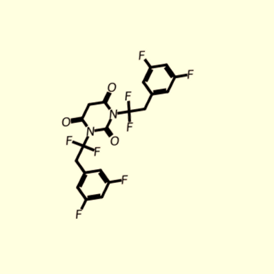 O=C1CC(=O)N(C(F)(F)Cc2cc(F)cc(F)c2)C(=O)N1C(F)(F)Cc1cc(F)cc(F)c1